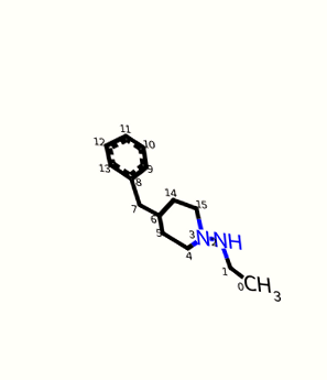 CCNN1CCC(Cc2ccccc2)CC1